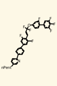 CCCCCc1ccc(-c2ccc(-c3cc(F)c(/C=C/C(F)(F)Oc4ccc(-c5cc(F)c(F)c(F)c5)c(F)c4)c(F)c3)cc2)nc1